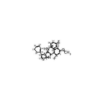 COc1cc(F)c(-c2nc3scc(C4=CC=CCC4)n3c2Nc2ccc(F)cc2)c(F)c1